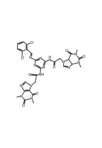 CN1C(=O)C2C(N=CN2CC(=O)Nc2nc(N=Cc3c(Cl)cccc3Cl)nc(NC(=O)Cn3cnc4c3c(=O)n(C)c(=O)n4C)n2)N(C)C1=O